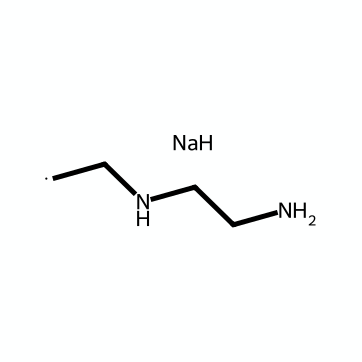 [CH2]CNCCN.[NaH]